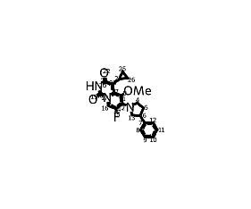 COc1c(N2CCC(c3ccccc3)C2)c(F)cn2c(=O)[nH]c(=O)c(C3CC3)c12